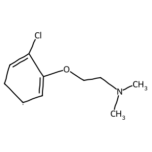 CN(C)CCOC1=C[CH]CC=C1Cl